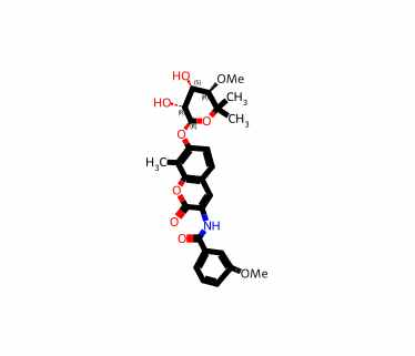 COc1cccc(C(=O)Nc2cc3ccc(O[C@@H]4OC(C)(C)[C@H](OC)[C@@H](O)[C@H]4O)c(C)c3oc2=O)c1